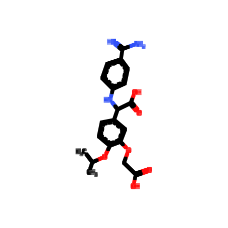 CC(C)Oc1ccc(C(Nc2ccc(C(=N)N)cc2)C(=O)O)cc1OCC(=O)O